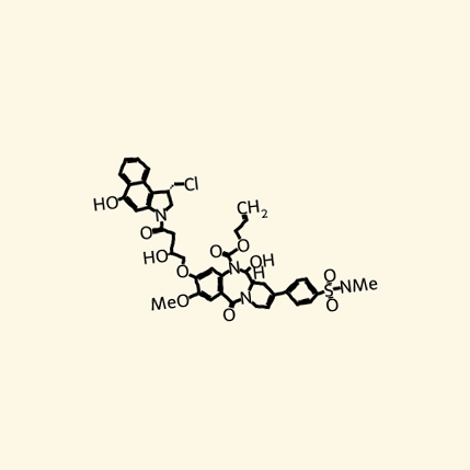 C=CCOC(=O)N1c2cc(OC[C@H](O)CC(=O)N3C[C@@H](CCl)c4c3cc(O)c3ccccc43)c(OC)cc2C(=O)N2CC=C(c3ccc(S(=O)(=O)NC)cc3)C[C@H]2C1O